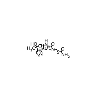 CC(C)(O)c1cnnn1[C@@H]1CN[C@H](C(=O)NCSC(N)=O)C1